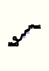 CCCCC/C=C/C=C/CC(=O)OC